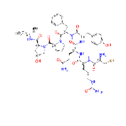 CC[C@H](C)[C@H](NC(=O)[C@@H]1C[C@@H](O)CN1C(=O)[C@@H]1CCCN1C(=O)[C@H](Cc1ccccc1)NC(=O)[C@H](Cc1ccc(O)cc1)NC(=O)[C@H](CCC(N)=O)NC(=O)[C@H](CCCNC(N)=O)NC(=O)[C@@H](N)CS)C(=O)O